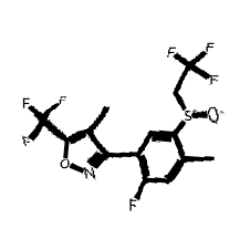 Cc1cc(F)c(-c2noc(C(F)(F)F)c2C)cc1[S+]([O-])CC(F)(F)F